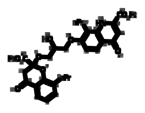 CCCc1cccc2c1OC(OCC(O)COc1ccc3c(=O)cc(C(=O)OCC)[nH]c3c1CCC)(C(=O)OCC)CC2=O